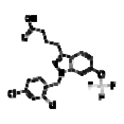 O=C(O)CCCc1nn(Cc2ccc(Cl)cc2Cl)c2cc(OC(F)(F)F)ccc12